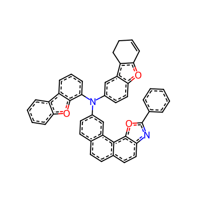 C1=Cc2oc3ccc(N(c4ccc5ccc6ccc7nc(-c8ccccc8)oc7c6c5c4)c4cccc5c4oc4ccccc45)cc3c2CC1